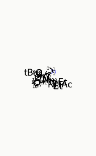 C/C=C\[C@@H]1C[C@H](C(=O)OC(C)(C)C)N(Cc2ccccc2)[C@H]1[C@H](CC(CC)CC)NC(C)=O